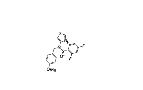 COc1ccc(CN(c2cscn2)[S+]([O-])c2c(F)cc(F)cc2F)cc1